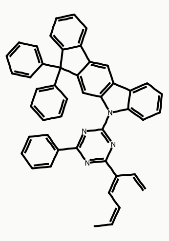 C=C/C(=C\C=C/C)c1nc(-c2ccccc2)nc(-n2c3ccccc3c3cc4c(cc32)C(c2ccccc2)(c2ccccc2)c2ccccc2-4)n1